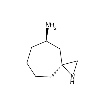 N[C@@H]1CCCC[C@@]2(CN2)C1